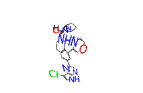 CN1C2CCC1CN(C(=O)N1CCc3cc(-c4cnc5[nH]cc(Cl)c5n4)cc(C4COCCN4)c3C1)C2